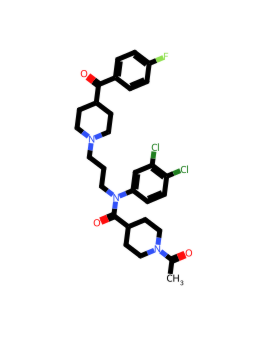 CC(=O)N1CCC(C(=O)N(CCCN2CCC(C(=O)c3ccc(F)cc3)CC2)c2ccc(Cl)c(Cl)c2)CC1